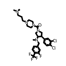 CN(C)CCCN1CCN(C(=O)N2CC(c3ccc(Cl)c(Cl)c3)C(N(C)Cc3ccc(C(F)(F)F)c(F)c3)C2)CC1